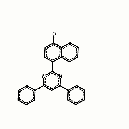 Clc1ccc(-c2nc(-c3ccccc3)cc(-c3ccccc3)n2)c2ccccc12